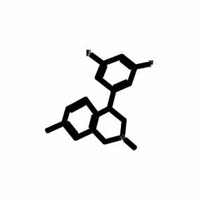 Cc1ccc2c(c1)CN(C)CC2c1cc(F)cc(F)c1